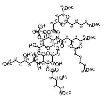 CCCCCCCCCCCCCCC(=O)O[C@H](CCCCCCCCCCCC)CC(=O)NC1[C@H](OCC2OC(C)C(NC(=O)C[C@H](O)CCCCCCCCCCCC)[C@@H](OC(=O)C[C@H](O)CCCCCCCCCCCC)[C@@H]2O)OC(CO)[C@@H](OP(=O)(O)O)[C@@H]1OC(=O)C[C@@H](CCCCCCCCCCCC)OC(=O)CCCCCCCCCCCCCC